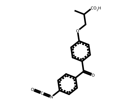 CC(COc1ccc(C(=O)c2ccc(N=C=O)cc2)cc1)C(=O)O